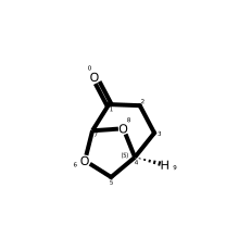 O=C1CC[C@H]2COC1O2